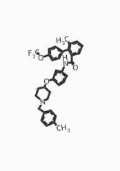 Cc1ccc(CN2CCC(Oc3cccc(NC(=O)c4cccc(C)c4-c4ccc(OC(F)(F)F)cc4)c3)CC2)cc1